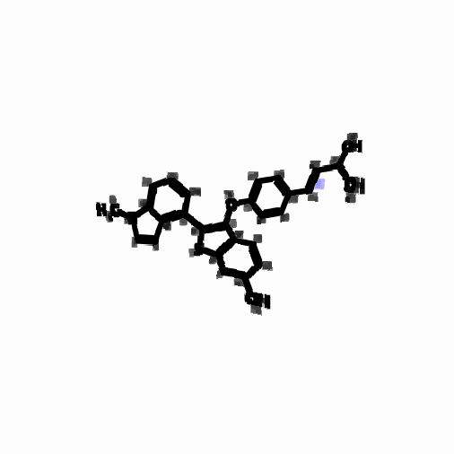 Cn1ccc2c(-c3sc4cc(O)ccc4c3Oc3ccc(/C=C/C(O)O)cc3)cccc21